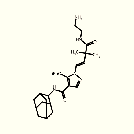 CC(C)COc1c(C(=O)NC2C3CC4CC(C3)CC2C4)cnn1/C=C/C(C)(C)C(=O)NCCN